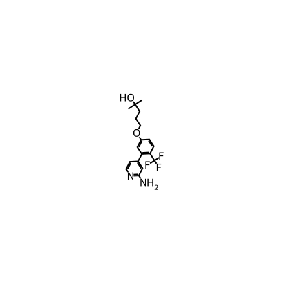 CC(C)(O)CCCOc1ccc(C(F)(F)F)c(-c2ccnc(N)c2)c1